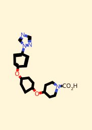 O=C(O)N1CCC(OC2CCC(Oc3ccc(-n4cncn4)cc3)CC2)CC1